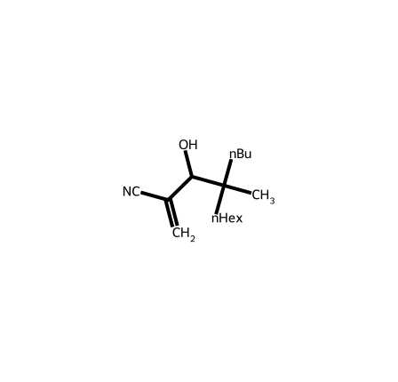 C=C(C#N)C(O)C(C)(CCCC)CCCCCC